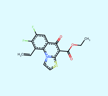 C=Cc1c(F)c(F)cc2c(=O)c(C(=O)OCC)c3sccn3c12